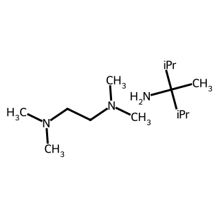 CC(C)C(C)(N)C(C)C.CN(C)CCN(C)C